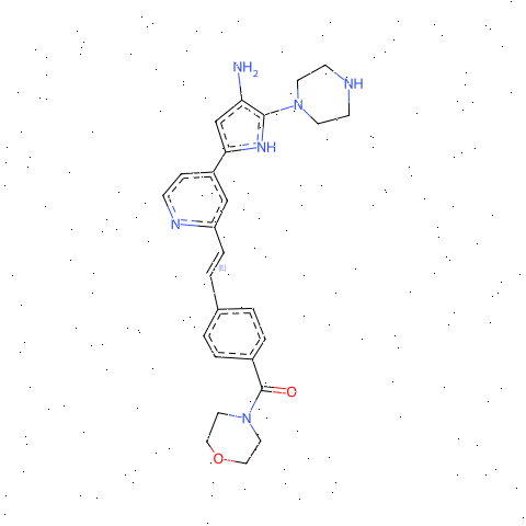 Nc1cc(-c2ccnc(/C=C/c3ccc(C(=O)N4CCOCC4)cc3)c2)[nH]c1N1CCNCC1